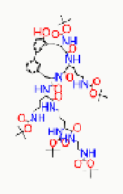 CN1C(=O)[C@H](CCCNC(=O)OC(C)(C)C)NC(=O)[C@@H](NC(=O)OC(C)(C)C)Cc2cc(ccc2O)-c2cccc(c2)C[C@H]1C(=O)N[C@H](CCCNC(=O)OC(C)(C)C)C(=O)NCCC[C@H](NC(=O)OC(C)(C)C)C(=O)NCCNC(=O)OC(C)(C)C